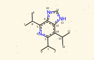 CC(C)c1nc(C(C)C)c2nc[nH]c2c1C(C)C